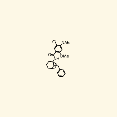 CNc1cc(OC)c(C(=O)NC23CCCC(CC2)N3Cc2ccccc2)cc1Cl